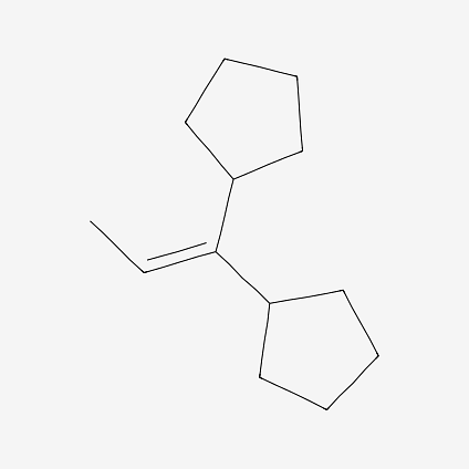 CC=C(C1CCCC1)C1CCCC1